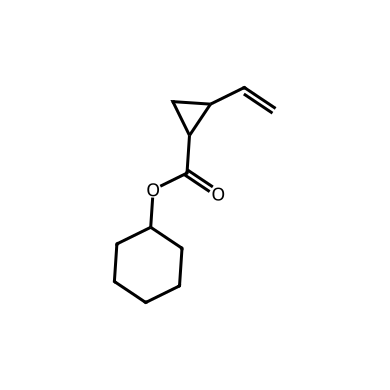 C=CC1CC1C(=O)OC1CCCCC1